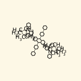 CC1(C)CC(C)(C)C2(C)c3cc(-c4ccc5c(-c6ccc(-c7ccccc7)cc6)c6cc(-c7ccc8c(c7)C7(C)C(C)(C)CC(C)(C)CC7(C)N8c7ccccc7)ccc6c(-c6ccc(-c7ccccc7)cc6)c5c4)ccc3N(c3ccccc3)C2(C)C1